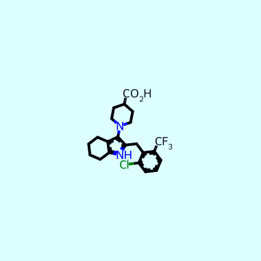 O=C(O)C1CCN(c2c(Cc3c(Cl)cccc3C(F)(F)F)[nH]c3c2CCCC3)CC1